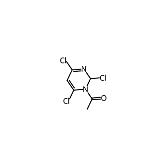 CC(=O)N1C(Cl)=CC(Cl)=NC1Cl